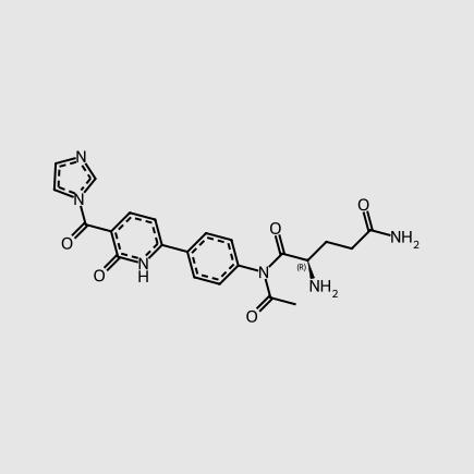 CC(=O)N(C(=O)[C@H](N)CCC(N)=O)c1ccc(-c2ccc(C(=O)n3ccnc3)c(=O)[nH]2)cc1